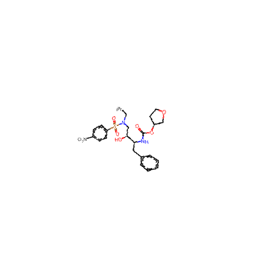 CC(C)CN(C[C@H](O)[C@H](Cc1ccccc1)NC(=O)O[C@H]1CCOC1)S(=O)(=O)c1ccc([N+](=O)[O-])cc1